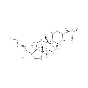 CO/C=C/[C@@H](C)[C@H]1CC[C@H]2[C@@H]3CC=C4C[C@@H](OC(C)=O)CC[C@]4(C)[C@H]3CC[C@]12C